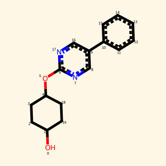 OC1CCC(Oc2ncc(-c3ccccc3)cn2)CC1